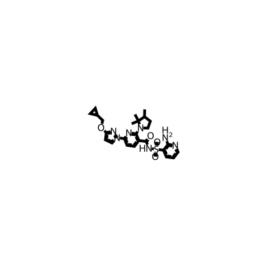 CC1CCN(c2nc(-n3ccc(OCC4CC4)n3)ccc2C(=O)NS(=O)(=O)c2cccnc2N)C1(C)C